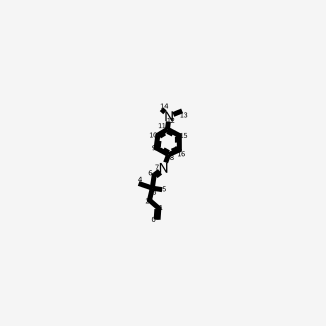 C=CCC(C)(C)C=Nc1ccc(N(C)C)cc1